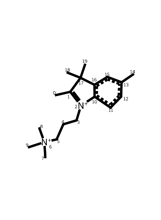 CC1=[N+](CCC[N+](C)(C)C)c2ccc(C)cc2C1(C)C